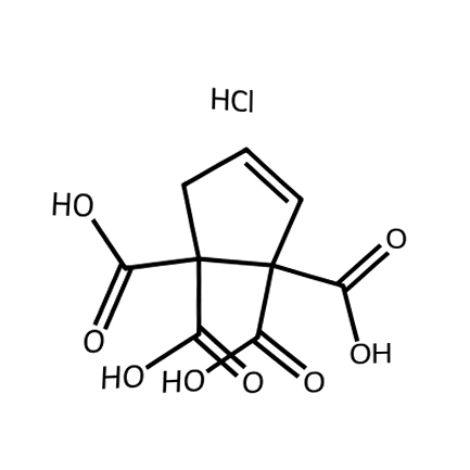 Cl.O=C(O)C1(C(=O)O)C=CCC1(C(=O)O)C(=O)O